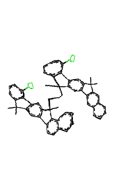 CC1(C)c2cc3c(cc2-c2cc4ccccc4cc21)C(C)(CCC1(C)c2cc4c(cc2-c2ccc5ccccc5c21)C(C)(C)c1cccc(Cl)c1-4)c1cccc(Cl)c1-3